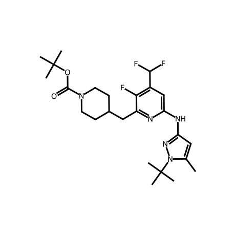 Cc1cc(Nc2cc(C(F)F)c(F)c(CC3CCN(C(=O)OC(C)(C)C)CC3)n2)nn1C(C)(C)C